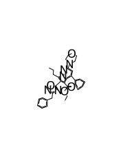 CCCc1c(-c2nc(Cc3ccccc3)no2)c(C(=O)OCC)c2c(-c3ccccc3)cc(N3CCOCC3)nn12